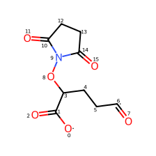 [O]C(=O)C(CC[C]=O)ON1C(=O)CCC1=O